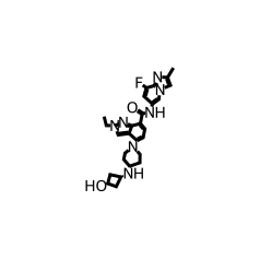 CCn1cc2c(N3CCC(N[C@H]4C[C@@H](O)C4)CC3)ccc(C(=O)Nc3cc(F)c4nc(C)cn4c3)c2n1